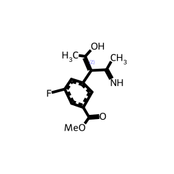 COC(=O)c1cc(F)cc(/C(C(C)=N)=C(\C)O)c1